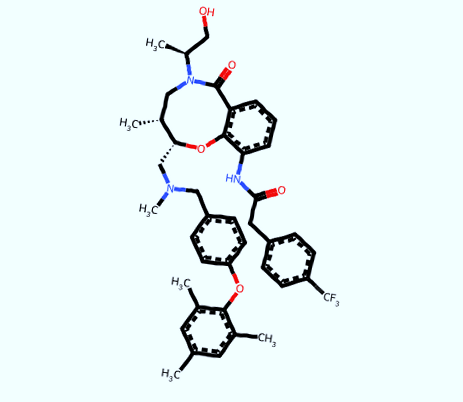 Cc1cc(C)c(Oc2ccc(CN(C)C[C@H]3Oc4c(NC(=O)Cc5ccc(C(F)(F)F)cc5)cccc4C(=O)N([C@@H](C)CO)C[C@H]3C)cc2)c(C)c1